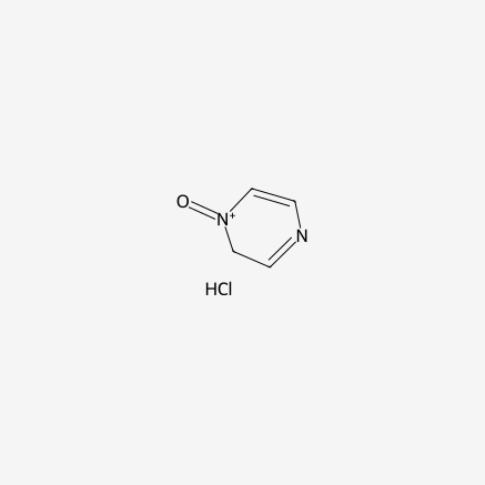 Cl.O=[N+]1C=CN=CC1